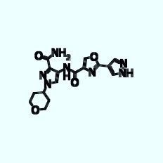 NC(=O)c1nn(C2CCOCC2)cc1NC(=O)c1coc(-c2cn[nH]c2)n1